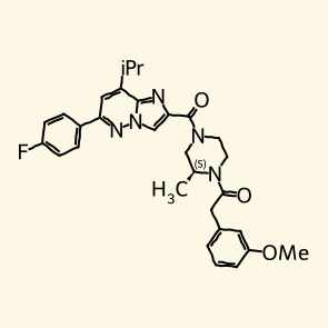 COc1cccc(CC(=O)N2CCN(C(=O)c3cn4nc(-c5ccc(F)cc5)cc(C(C)C)c4n3)C[C@@H]2C)c1